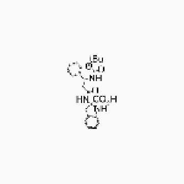 CC(C)(C)OC(=O)NC(CC(=O)NC1(C(=O)O)Cc2ccccc2N1)c1ccccc1